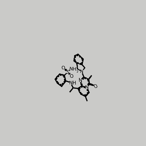 Cc1cc(C(C)Nc2ccccc2S(N)(=O)=O)c2nc(N3Cc4ccccc4C3)c(C)c(=O)n2c1